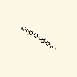 CCOc1ccc(-c2ccc(CCc3ccc(-c4ccc(CC)cc4)c(F)c3F)cc2)cc1F